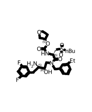 CCCCS(=O)(=O)C[C@@H](NC(=O)O[C@H]1CCOC1)C(=O)N(Cc1cccc(CC)c1)C[C@@H](O)[C@@H](N)Cc1cc(F)cc(F)c1